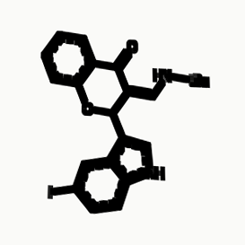 CC(C)(C)N/C=C1\C(=O)c2ccccc2OC1c1c[nH]c2ccc(I)cc12